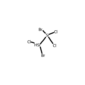 Cl[SiH](Br)[Si](Cl)(Cl)Br